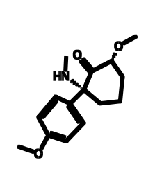 CN[C@@]1(c2ccc(OC)cc2)CCC[C@@H](OC)C1=O